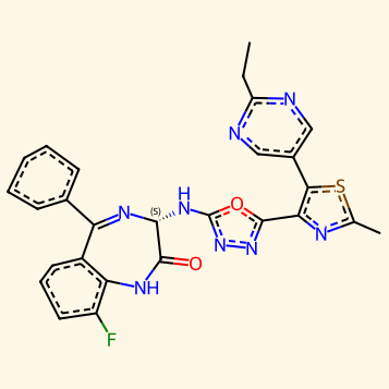 CCc1ncc(-c2sc(C)nc2-c2nnc(N[C@H]3N=C(c4ccccc4)c4cccc(F)c4NC3=O)o2)cn1